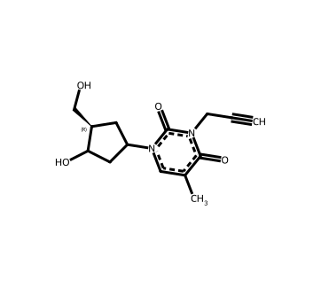 C#CCn1c(=O)c(C)cn(C2CC(O)[C@@H](CO)C2)c1=O